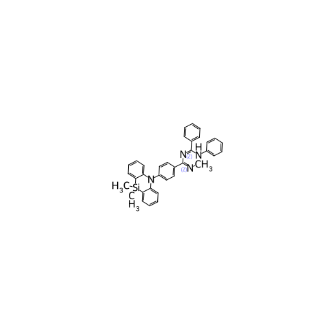 C/N=C(\N=C(/Nc1ccccc1)c1ccccc1)c1ccc(N2c3ccccc3[Si](C)(C)c3ccccc32)cc1